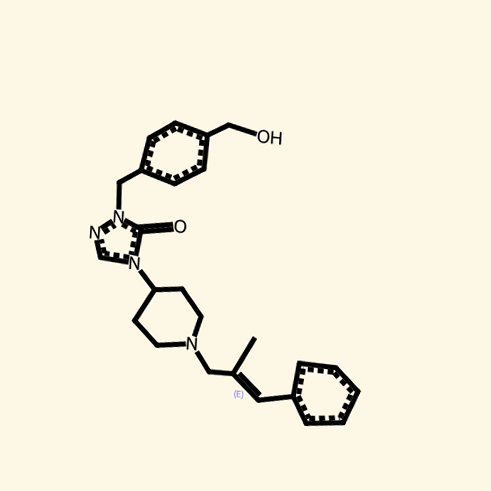 C/C(=C\c1ccccc1)CN1CCC(n2cnn(Cc3ccc(CO)cc3)c2=O)CC1